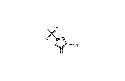 CC[CH]c1cc(S(C)(=O)=O)c[nH]1